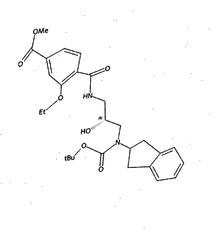 CCOc1cc(C(=O)OC)ccc1C(=O)NC[C@@H](O)CN(C(=O)OC(C)(C)C)C1Cc2ccccc2C1